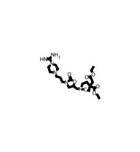 CCOC(=O)CC1(C(=O)OCC)CCN(CC2CN(CCCN3CCN(C(=N)N)CC3)C(=O)O2)CC1